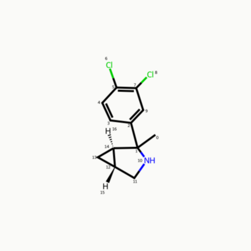 CC1(c2ccc(Cl)c(Cl)c2)NC[C@@H]2C[C@H]21